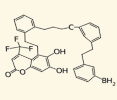 Bc1cccc(CCc2cccc(CCCCc3ccccc3CCc3c(O)c(O)cc4oc(=O)cc(C(F)(F)F)c34)c2)c1